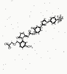 Cc1ccc(COCC(Cl)Cl)c(N2C(=O)CS/C2=N\C(=O)Nc2ccc(-c3ncn(-c4ccc(S(F)(F)(F)(F)F)cc4)n3)cc2F)c1